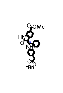 COC(=O)c1ccc2c(c1)NC(=O)/C2=C(\Nc1ccc(CC(=O)OC(C)(C)C)cc1)c1ccccc1